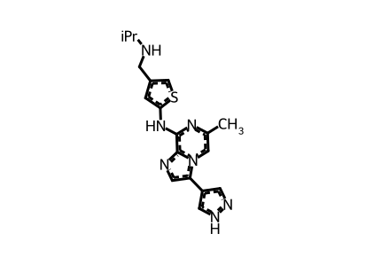 Cc1cn2c(-c3cn[nH]c3)cnc2c(Nc2cc(CNC(C)C)cs2)n1